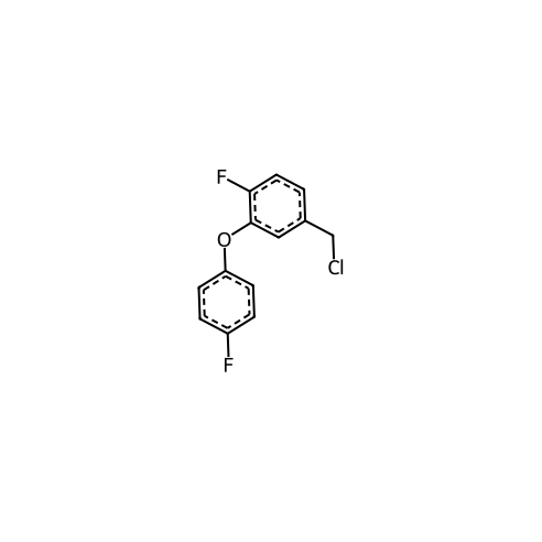 Fc1ccc(Oc2cc(CCl)ccc2F)cc1